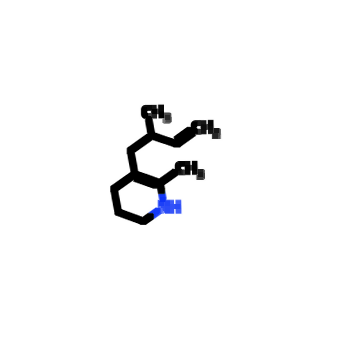 C=CC(C)CC1=C(C)NCCC1